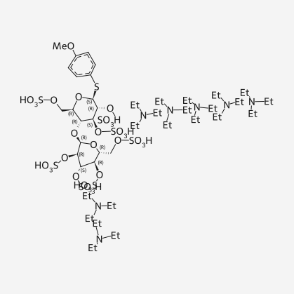 CCN(CC)CC.CCN(CC)CC.CCN(CC)CC.CCN(CC)CC.CCN(CC)CC.CCN(CC)CC.CCN(CC)CC.COc1ccc(S[C@@H]2O[C@H](COS(=O)(=O)O)[C@@H](O[C@H]3O[C@H](COS(=O)(=O)O)[C@@H](OS(=O)(=O)O)[C@H](OS(=O)(=O)O)[C@H]3OS(=O)(=O)O)[C@H](OS(=O)(=O)O)[C@H]2OS(=O)(=O)O)cc1